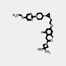 CCOc1cnc(N2CCC([C@H]3C[C@H]3CCOc3cc(F)c(CC(=O)N4CC(C)(O)C4)c(F)c3)CC2)nc1